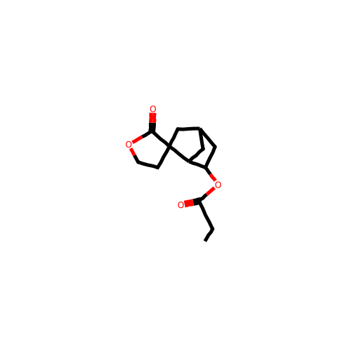 CCC(=O)OC1CC2CC1C1(CCOC1=O)C2